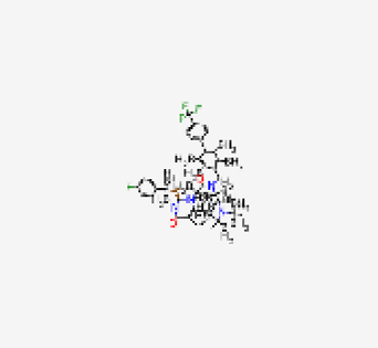 Bc1c(B)c(-c2ccc(C(F)(F)F)cc2)c(B)c(B)c1CN(C(=O)C(B)(B)n1c(SC(B)(B)c2ccc(F)cc2)nc(=O)c2c1CCC2)C(B)(B)C(B)(B)N(C(B)(B)C)C(B)(B)C